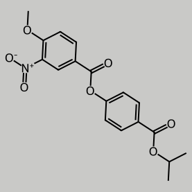 COc1ccc(C(=O)Oc2ccc(C(=O)OC(C)C)cc2)cc1[N+](=O)[O-]